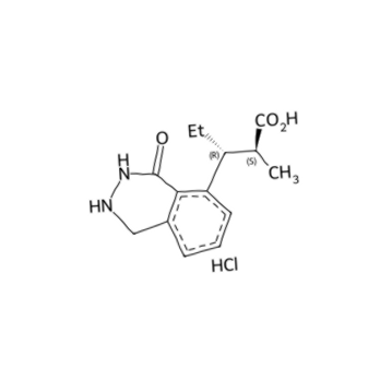 CC[C@@H](c1cccc2c1C(=O)NNC2)[C@H](C)C(=O)O.Cl